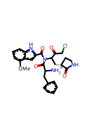 COc1cccc2[nH]c(C(=O)N(C(=O)C(N)Cc3ccccc3)C(C[C@@H]3CCNC3=O)C(=O)CCl)cc12